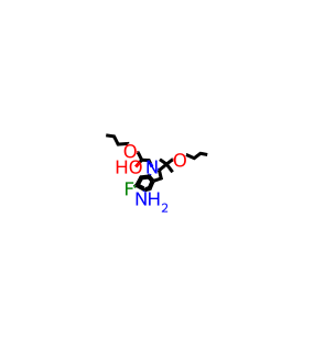 CCCCOCC(O)CN1c2cc(F)c(N)cc2CC1C(C)(C)COCCCC